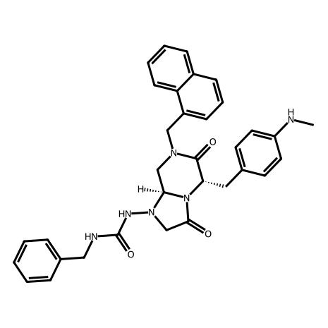 CNc1ccc(C[C@H]2C(=O)N(Cc3cccc4ccccc34)C[C@@H]3N(NC(=O)NCc4ccccc4)CC(=O)N32)cc1